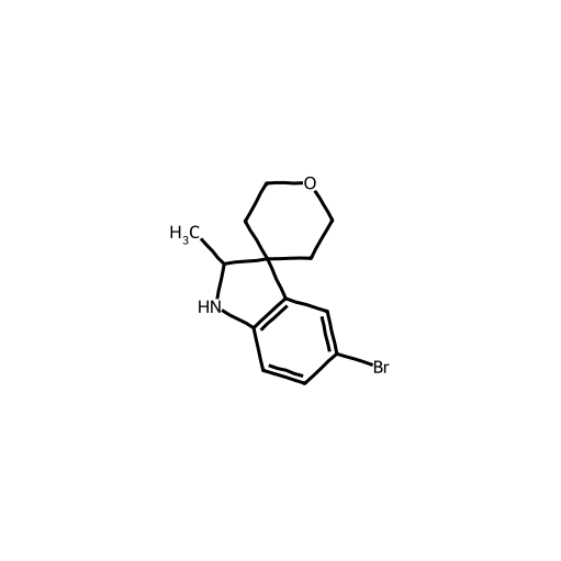 CC1Nc2ccc(Br)cc2C12CCOCC2